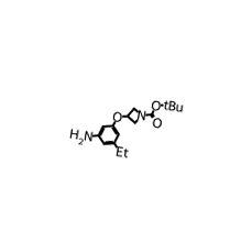 CCc1cc(N)cc(OC2CN(C(=O)OC(C)(C)C)C2)c1